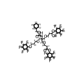 O=C(CCOCC(COCCCOc1c(F)c(F)c(F)c(F)c1F)(COCCC(=O)Oc1c(F)c(F)c(F)c(F)c1F)NC(=O)OCc1ccccc1)Oc1c(F)c(F)c(F)c(F)c1F